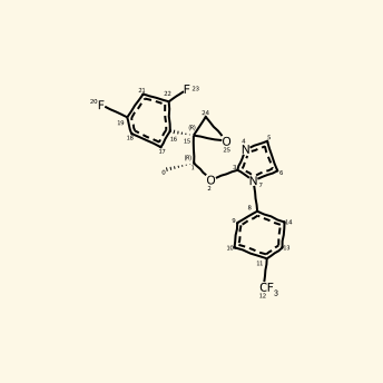 C[C@@H](Oc1nccn1-c1ccc(C(F)(F)F)cc1)[C@@]1(c2ccc(F)cc2F)CO1